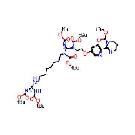 CC(C)(C)OC(=O)/N=C(/NCCCCCCCCN(C(=O)OC(C)(C)C)/C(=N/C(=O)OC(C)(C)C)N(CCOc1ccc(C2=NCCCN2C(=O)OC(C)(C)C)nc1)C(=O)OC(C)(C)C)NC(=O)OC(C)(C)C